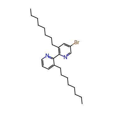 CCCCCCCCc1cccnc1-c1ncc(Br)cc1CCCCCCCC